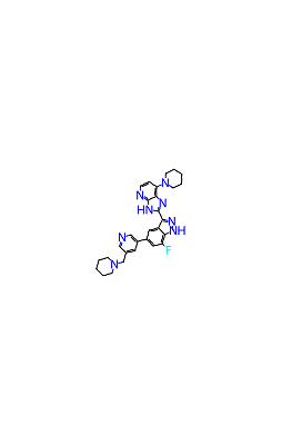 Fc1cc(-c2cncc(CN3CCCCC3)c2)cc2c(-c3nc4c(N5CCCCC5)ccnc4[nH]3)n[nH]c12